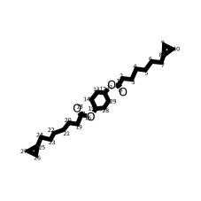 O=C(CCCCCCC1CC1)OC1CCC(OC(=O)CCCCCCC2CC2)CC1